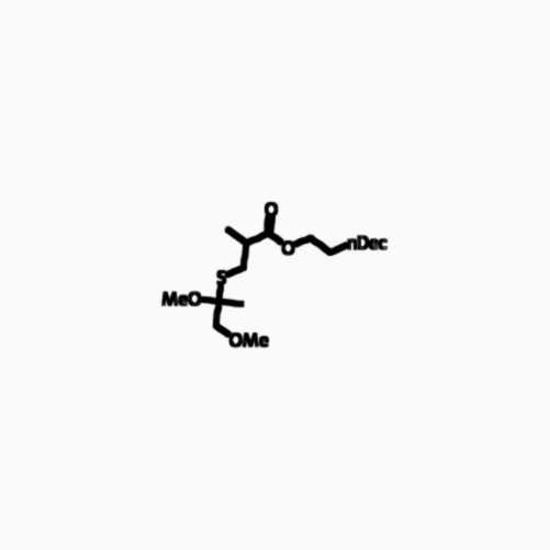 CCCCCCCCCCCCOC(=O)C(C)CSC(C)(COC)OC